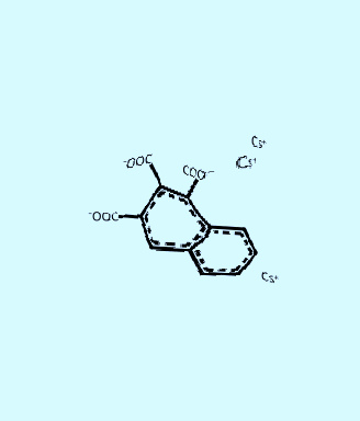 O=C([O-])c1cc2ccccc2c(C(=O)[O-])c1C(=O)[O-].[Cs+].[Cs+].[Cs+]